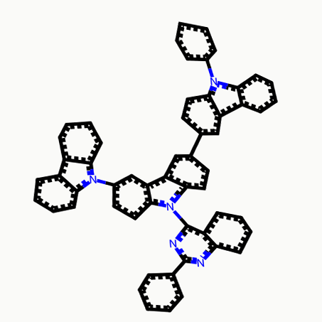 c1ccc(-c2nc(-n3c4ccc(-c5ccc6c(c5)c5ccccc5n6-c5ccccc5)cc4c4cc(-n5c6ccccc6c6ccccc65)ccc43)c3ccccc3n2)cc1